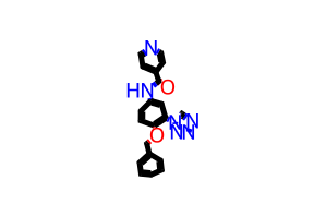 O=C(Nc1ccc(OCc2ccccc2)c(-n2cnnn2)c1)c1ccncc1